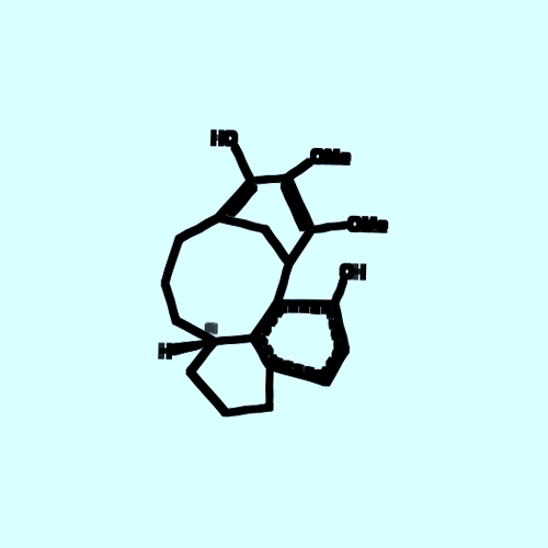 COC1=C(OC)C2CC(=C1O)CCC[C@H]1CCCc3ccc(O)c2c31